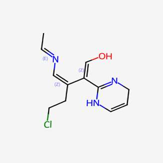 C/C=N/C=C(CCCl)\C(=C\O)C1=NCC=CN1